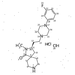 CN1C(=O)C2(CCNCC2)C[C@@H]1CCN1CCN(c2cccc(F)c2)CC1.Cl.Cl